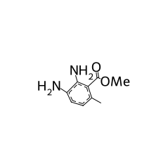 COC(=O)c1c(C)ccc(N)c1N